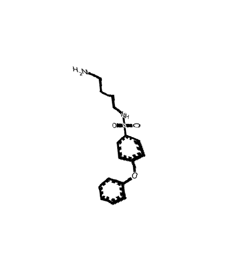 NCCCCNS(=O)(=O)c1ccc(Oc2ccccc2)cc1